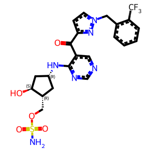 NS(=O)(=O)OC[C@H]1C[C@@H](Nc2ncncc2C(=O)c2ccn(Cc3ccccc3C(F)(F)F)n2)C[C@@H]1O